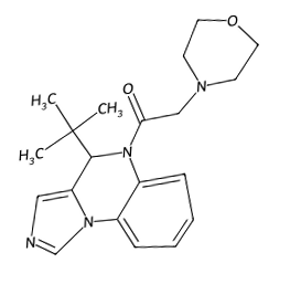 CC(C)(C)C1c2cncn2-c2ccccc2N1C(=O)CN1CCOCC1